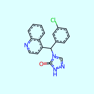 O=c1[nH]ncn1C(c1cccc(Cl)c1)c1ccnc2ccccc12